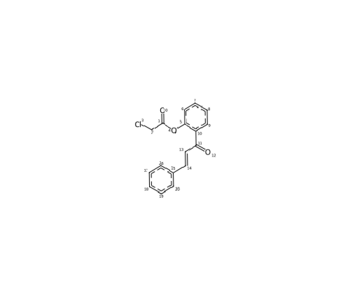 O=C(CCl)Oc1ccccc1C(=O)/C=C/c1ccccc1